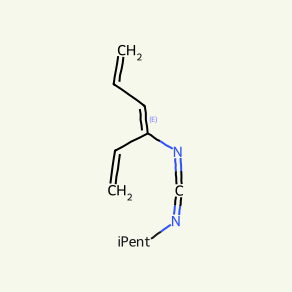 C=C/C=C(\C=C)N=C=NC(C)CCC